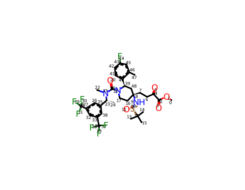 COC(=O)C(=O)CC[C@@]1(N[S+]([O-])C(C)(C)C)CCN(C(=O)N(C)[C@H](C)c2cc(C(F)(F)F)cc(C(F)(F)F)c2)[C@@H](c2ccc(F)cc2C)C1